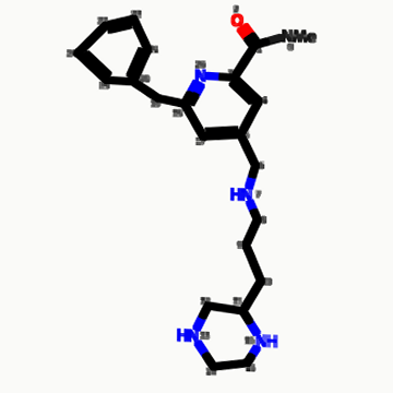 CNC(=O)c1cc(CNCCCC2CNCCN2)cc(Cc2ccccc2)n1